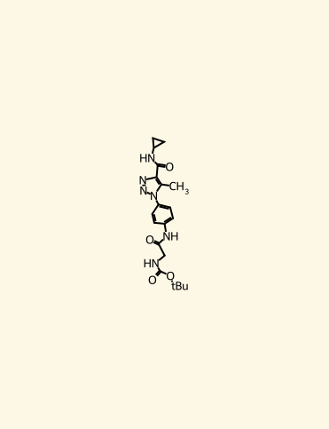 Cc1c(C(=O)NC2CC2)nnn1-c1ccc(NC(=O)CNC(=O)OC(C)(C)C)cc1